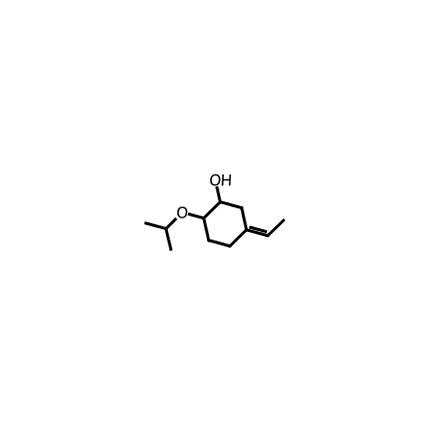 C/C=C1/CCC(OC(C)C)C(O)C1